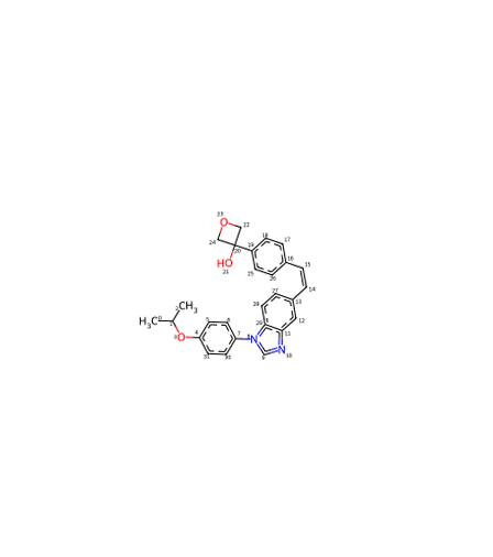 CC(C)Oc1ccc(-n2cnc3cc(/C=C\c4ccc(C5(O)COC5)cc4)ccc32)cc1